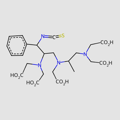 CC(CN(CC(=O)O)CC(=O)O)N(CC(=O)O)CC(C(N=C=S)c1ccccc1)N(CC(=O)O)CC(=O)O